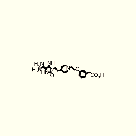 N=C1C(=C(N)N)NC(=O)N1CCC1CCN(CCOc2cccc(CC(=O)O)c2)CC1